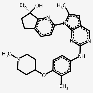 CC[C@@]1(O)CCc2ccc(-n3c(C)cc4cnc(Nc5ccc(OC6CCN(C)CC6)c(C)c5)nc43)nc21